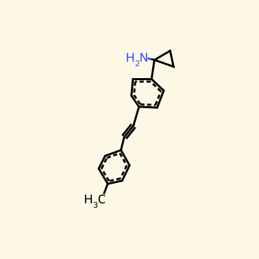 Cc1ccc(C#Cc2ccc(C3(N)CC3)cc2)cc1